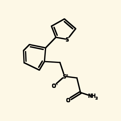 NC(=O)C[S+]([O-])Cc1ccccc1-c1cccs1